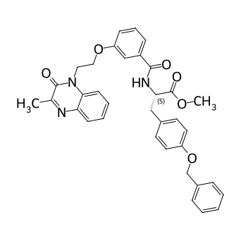 COC(=O)[C@H](Cc1ccc(OCc2ccccc2)cc1)NC(=O)c1cccc(OCCn2c(=O)c(C)nc3ccccc32)c1